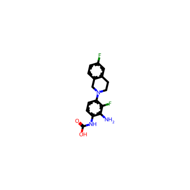 Nc1c(NC(=O)O)ccc(N2CCc3cc(F)ccc3C2)c1F